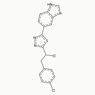 Clc1ccc(CC(Cl)c2nnc(-c3ccc4[nH]cnc4c3)s2)cc1